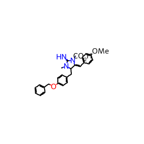 COc1ccc(C=C2C(Cc3ccc(OCc4ccccc4)cc3)N(C)C(=N)N2C(=O)O)cc1